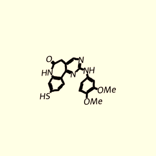 COc1ccc(Nc2ncc3c(n2)-c2ccc(S)cc2NC(=O)C3)cc1OC